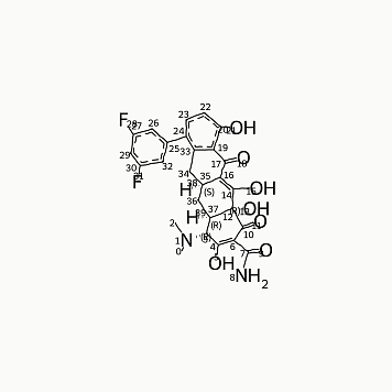 CN(C)[C@H]1C(O)=C(C(N)=O)C(=O)[C@]2(O)C(O)=C3C(=O)c4c(O)ccc(-c5cc(F)cc(F)c5)c4C[C@@H]3C[C@H]12